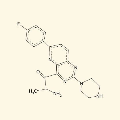 CC(N)C(=O)c1nc(N2CCNCC2)nc2ccc(-c3ccc(F)cc3)nc12